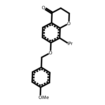 COc1ccc(COc2ccc3c(c2C(C)C)OCCC3=O)cc1